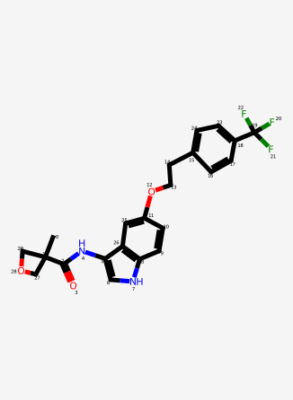 CC1(C(=O)Nc2c[nH]c3ccc(OCCc4ccc(C(F)(F)F)cc4)cc23)COC1